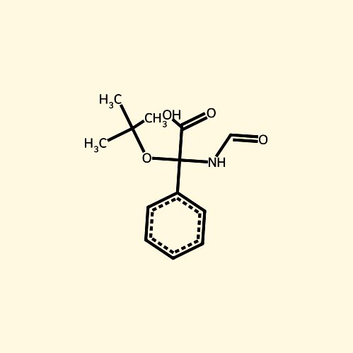 CC(C)(C)OC(NC=O)(C(=O)O)c1ccccc1